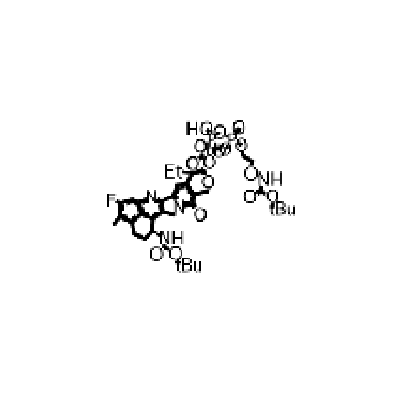 CC[C@@]1(OCOP(=O)(O)OP(=O)(O)OCCONC(=O)OC(C)(C)C)C(=O)OCc2c1cc1n(c2=O)Cc2c-1nc1cc(F)c(C)c3c1c2[C@@H](NC(=O)OC(C)(C)C)CC3